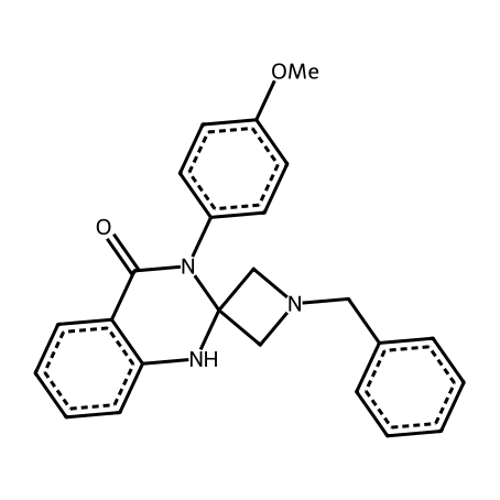 COc1ccc(N2C(=O)c3ccccc3NC23CN(Cc2ccccc2)C3)cc1